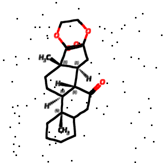 C[C@]12CCCCC1CC(=O)[C@@H]1[C@@H]2CC[C@@]2(C)[C@H]1CC13OCCOC12OCCO3